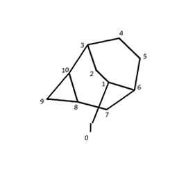 IC1CC2CCC1CC1CC21